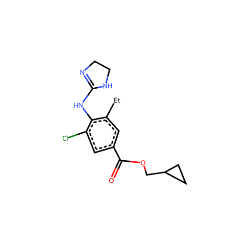 CCc1cc(C(=O)OCC2CC2)cc(Cl)c1NC1=NCCN1